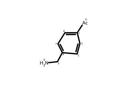 [CH2]C(=O)c1ccc(CN)cc1